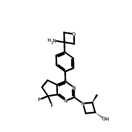 C[C@H]1[C@H](O)CN1c1nc(-c2ccc(C3(N)COC3)cc2)c2c(n1)C(F)(F)CC2